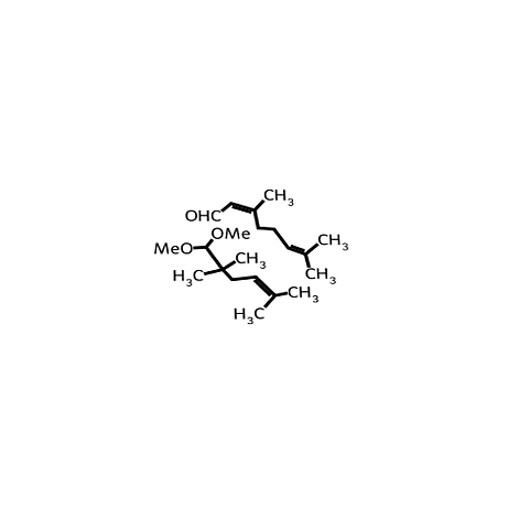 CC(C)=CCCC(C)=CC=O.COC(OC)C(C)(C)CC=C(C)C